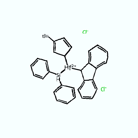 CC(C)(C)C1=C[CH]([Hf+2]([CH]2c3ccccc3-c3ccccc32)[SiH](c2ccccc2)c2ccccc2)C=C1.[Cl-].[Cl-]